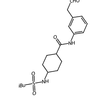 CCC(C)S(=O)(=O)NC1CCC(C(=O)Nc2cccc(CC=O)c2)CC1